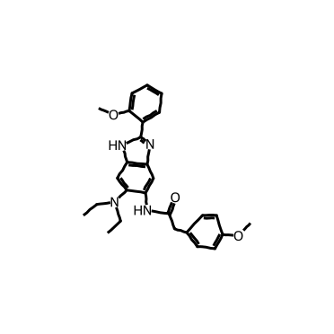 CCN(CC)c1cc2[nH]c(-c3ccccc3OC)nc2cc1NC(=O)Cc1ccc(OC)cc1